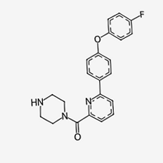 O=C(c1cccc(-c2ccc(Oc3ccc(F)cc3)cc2)n1)N1CCNCC1